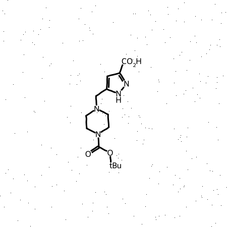 CC(C)(C)OC(=O)N1CCN(Cc2cc(C(=O)O)n[nH]2)CC1